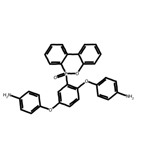 Nc1ccc(Oc2ccc(Oc3ccc(N)cc3)c(P3(=O)Oc4ccccc4-c4ccccc43)c2)cc1